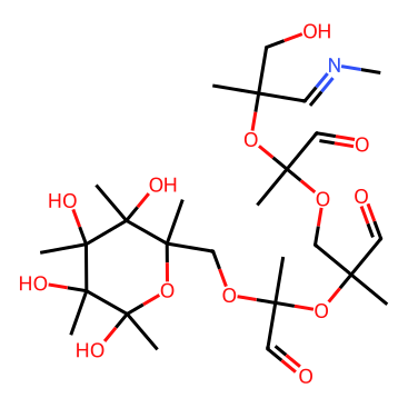 CN=CC(C)(CO)OC(C)(C=O)OCC(C)(C=O)OC(C)(C=O)OCC1(C)OC(C)(O)C(C)(O)C(C)(O)C1(C)O